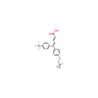 CC1(COc2ccc(C(=CC=CC(=O)O)c3ccc(C(F)(F)F)cc3)cc2)CC1